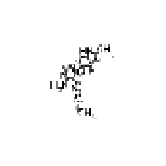 CCCCON=Cc1c(N)ncnc1Oc1ccc2[nH]c(C)cc2c1F